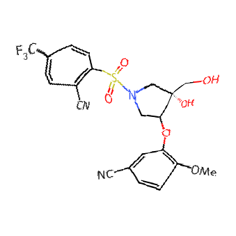 COc1ccc(C#N)cc1OC1CN(S(=O)(=O)c2ccc(C(F)(F)F)cc2C#N)C[C@@]1(O)CO